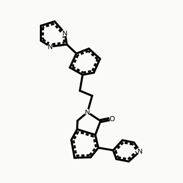 O=C1c2c(cccc2-c2ccncc2)CN1CCc1cccc(-c2ncccn2)c1